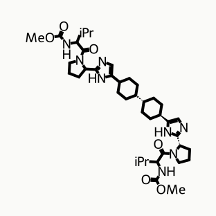 COC(=O)NC(C(=O)N1CCCC1c1ncc(C2CCC([C@H]3CC[C@H](c4cnc([C@@H]5CCCN5C(=O)C(NC(=O)OC)C(C)C)[nH]4)CC3)CC2)[nH]1)C(C)C